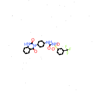 O=C(Nc1ccc(-n2c(=O)[nH]c3ccccc3c2=O)cc1)NS(=O)(=O)c1cccc(C(F)(F)F)c1